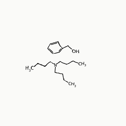 CCCCN(CCCC)CCCC.OCc1ccccc1